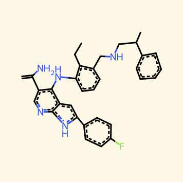 C=C(N)c1cnc2[nH]c(-c3ccc(F)cc3)cc2c1Nc1cccc(CNCC(C)c2ccccc2)c1CC